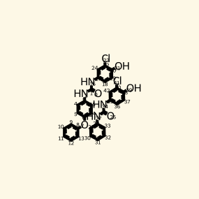 O=C(Nc1ccc(Oc2ccccc2)cc1)Nc1ccc(O)c(Cl)c1.O=C(Nc1ccccc1)Nc1ccc(O)c(Cl)c1